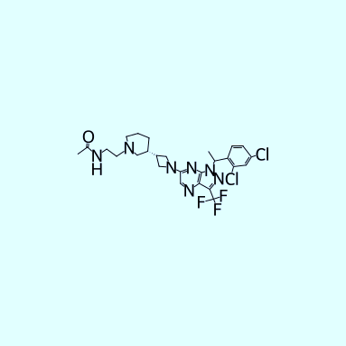 CC(=O)NCCN1CCC[C@H](C2CN(c3cnc4c(C(F)(F)F)nn(C(C)c5ccc(Cl)cc5Cl)c4n3)C2)C1